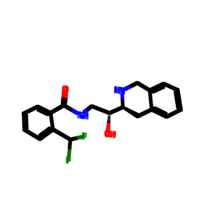 O=C(NC[C@@H](O)[C@@H]1Cc2ccccc2CN1)c1ccccc1C(F)F